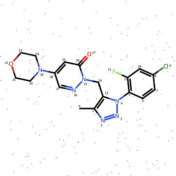 Cc1nnn(-c2ccc(Cl)cc2F)c1Cn1ncc(N2CCOCC2)cc1=O